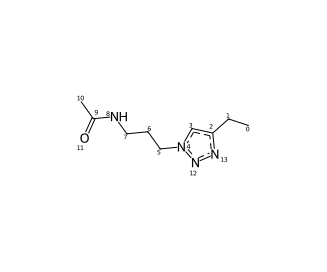 CCc1cn(CCCNC(C)=O)nn1